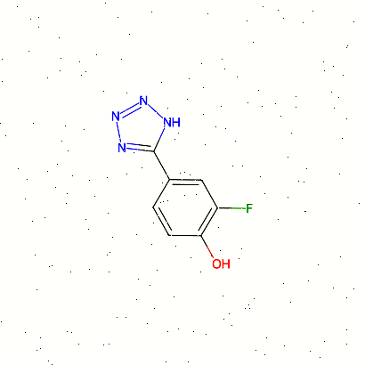 Oc1ccc(-c2nnn[nH]2)cc1F